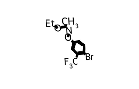 CCOC(C)=NOc1ccc(Br)c(C(F)(F)F)c1